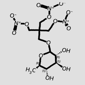 C[C@H]1OC(OCC(CO[N+](=O)[O-])(CO[N+](=O)[O-])CO[N+](=O)[O-])[C@H](O)[C@@H](O)[C@@H]1O